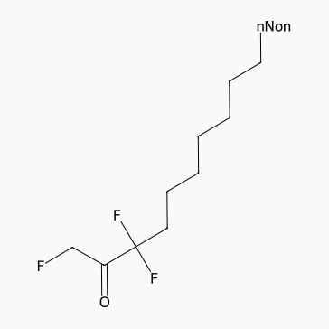 CCCCCCCCCCCCCCCCC(F)(F)C(=O)CF